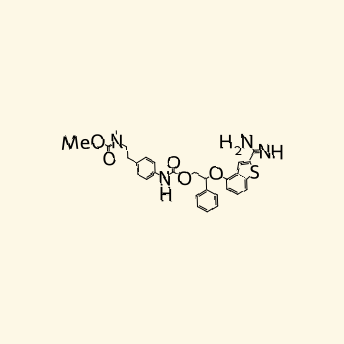 COC(=O)N(C)CCc1ccc(NC(=O)OCC(Oc2cccc3sc(C(=N)N)cc23)c2ccccc2)cc1